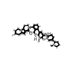 CN1CCCC1c1ccc(Nc2cc(-c3cccc(N4CCc5c(cc6n5CCCC6)C4=O)c3CO)cn(C)c2=O)nc1